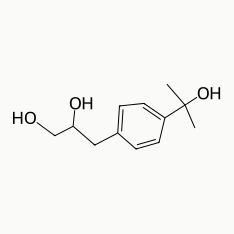 CC(C)(O)c1ccc(CC(O)CO)cc1